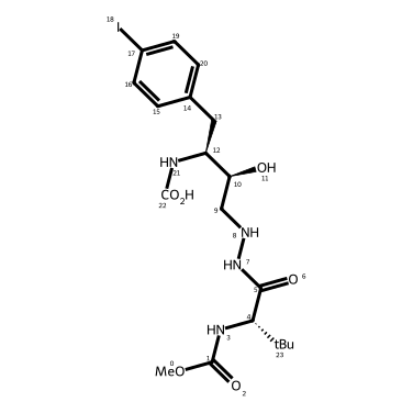 COC(=O)N[C@H](C(=O)NNC[C@H](O)[C@H](Cc1ccc(I)cc1)NC(=O)O)C(C)(C)C